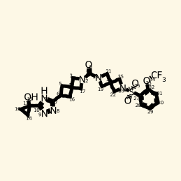 O=C(N1CC2(CC(c3nnc(C4(O)CC4)[nH]3)C2)C1)N1CC2(C1)CN(S(=O)(=O)c1ccccc1OC(F)(F)F)C2